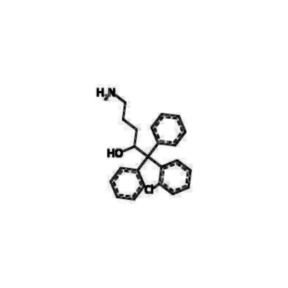 NCCCC(O)C(c1ccccc1)(c1ccccc1)c1ccccc1Cl